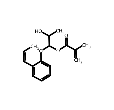 C=C(C)C(=O)OC(Oc1ccccc1/C=C\C)C(C)O